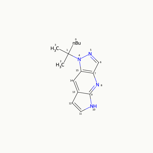 CCCCC(C)(C)n1ncc2nc3[nH]ccc3cc21